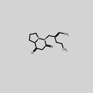 C/C=C(\CCC)CN1C(=O)CC(=O)C2CCCN21